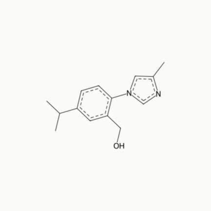 Cc1cn(-c2ccc(C(C)C)cc2CO)cn1